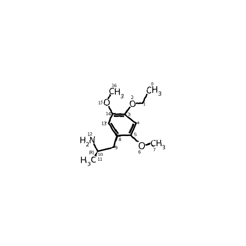 CCOc1cc(OC)c(C[C@@H](C)N)cc1OC